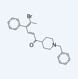 CC(Br)=C(C=CC(=O)C1CCN(Cc2ccccc2)CC1)c1ccccc1